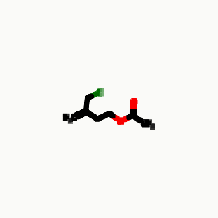 C=C(CCl)CCOC(C)=O